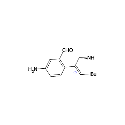 CCC(C)/C=C(\C=N)c1ccc(N)cc1C=O